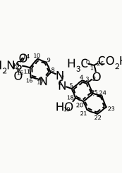 CC(Oc1cc(N=Nc2ccc(S(N)(=O)=O)cn2)c(O)c2ccccc12)C(=O)O